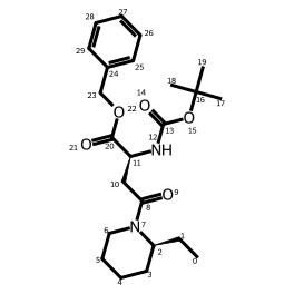 CC[C@H]1CCCCN1C(=O)C[C@H](NC(=O)OC(C)(C)C)C(=O)OCc1ccccc1